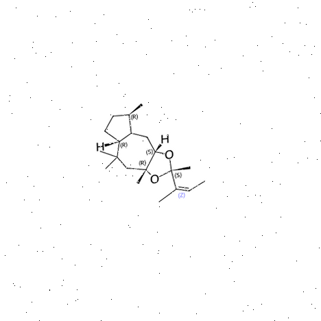 C/C=C(/C)[C@@]1(C)O[C@H]2CC3[C@H](C)CC[C@H]3C(C)(C)C[C@@]2(C)O1